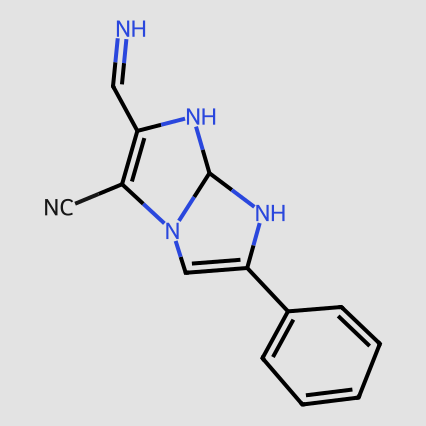 N#CC1=C(C=N)NC2NC(c3ccccc3)=CN12